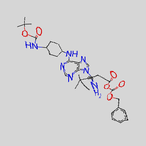 CC(C)(C)OC(=O)NC1CCC(Nc2ncnc3c2ncn3[C@](N)(CC(=O)OC(=O)OCc2ccccc2)C(C)(C)C)CC1